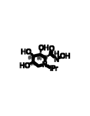 CC(C)N1C[C@@H](O)[C@@H](O)[C@H](O)[C@@H]1C(=O)NO